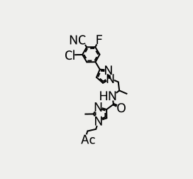 CC(=O)CCn1cc(C(=O)NC(C)Cn2ccc(-c3cc(F)c(C#N)c(Cl)c3)n2)nc1C